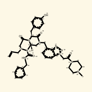 C=CCN1CC(=O)N2[C@@H](Cc3ccc(O)cc3)C(=O)N(Cc3cccc4c3nnn4CC(=O)N3CCN(C)CC3)C[C@@H]2N1C(=O)NCc1ccccc1